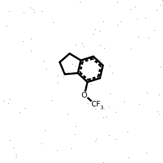 FC(F)(F)Oc1cccc2c1CCC2